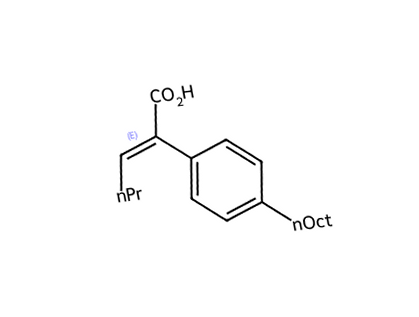 CCC/C=C(/C(=O)O)c1ccc(CCCCCCCC)cc1